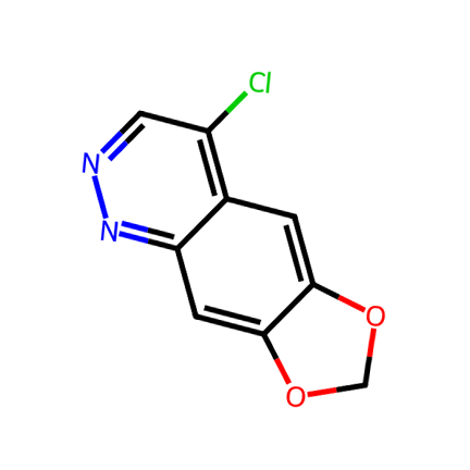 Clc1cnnc2cc3c(cc12)OCO3